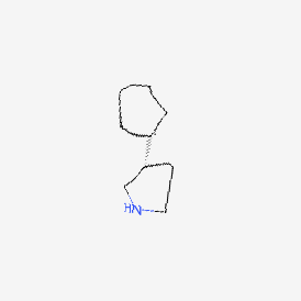 C1CC[C]([C@@H]2CCNC2)C1